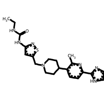 CCNC(=O)Nc1cc(CN2CCC(c3ccc(-c4ncc[nH]4)nc3C)CC2)sn1